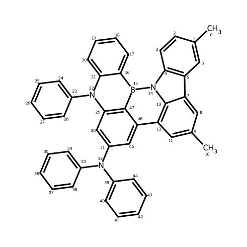 Cc1ccc2c(c1)c1cc(C)cc3c1n2B1c2ccccc2N(c2ccccc2)c2cc(N(c4ccccc4)c4ccccc4)cc-3c21